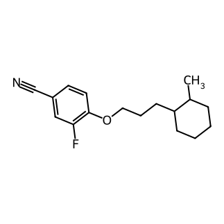 CC1CCCCC1CCCOc1ccc(C#N)cc1F